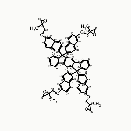 CC1(COc2ccc3cc(C4(c5ccc6cc(OCC7(C)CO7)ccc6c5)c5ccccc5-c5cc6c(cc54)-c4ccccc4C6(c4ccc5cc(OCC6(C)CO6)ccc5c4)c4ccc5cc(OCC6(C)CO6)ccc5c4)ccc3c2)CO1